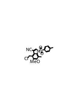 COc1cc(C)c2c(c(C#N)cn2S(=O)(=O)c2ccc(C)cc2)c1CCl